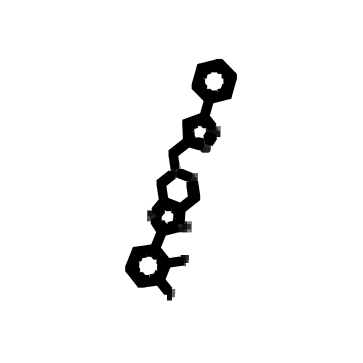 Fc1cccc(-c2nc3c([nH]2)C=NN(Cc2cc(-c4ccccc4)no2)C3)c1F